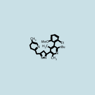 CCCCc1nc(C)c(C2=NN=C(CC3=NC=C(C)CC3)C2)c(C)c1-c1c(CC)cccc1OC